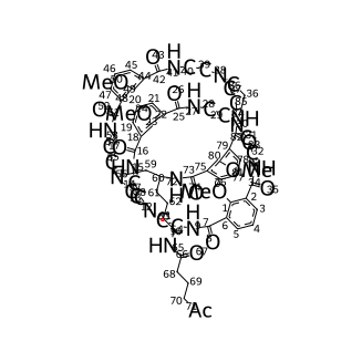 COc1c2cccc1C(=O)NCCN1CCNC(=O)c3cccc(c3OC)C(=O)NCCN(CCNC2=O)CCN2CCNC(=O)c3cccc(c3OC)C(=O)NCCN(CC1)CC(CCCCNC(=O)CCCC(C)=O)NC(=O)c1cccc(c1OC)C(=O)NCC2